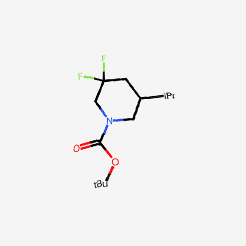 CC(C)C1CN(C(=O)OC(C)(C)C)CC(F)(F)C1